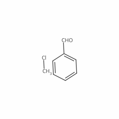 CCl.O=Cc1ccccc1